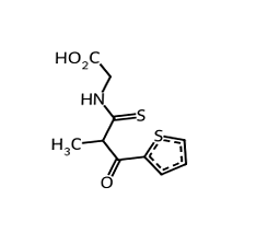 CC(C(=O)c1cccs1)C(=S)NCC(=O)O